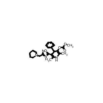 COC(=O)OC1=C(C)NC(C)=C(c2nc(CN3CCCCC3)no2)C1c1ccccc1